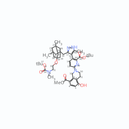 COC(=O)c1ccc(O)c2c1CN(c1ccc(-c3c(CC45CC6(C)CC(C)(C4)CC(OCCN(C)C(=O)OC(C)(C)C)(C6)C5)n[nH]c3C)c(C(=O)OC(C)(C)C)n1)CC2